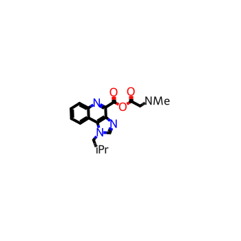 CNCC(=O)OC(=O)c1nc2ccccc2c2c1ncn2CC(C)C